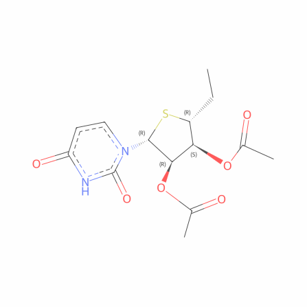 CC[C@H]1S[C@@H](n2ccc(=O)[nH]c2=O)[C@H](OC(C)=O)[C@@H]1OC(C)=O